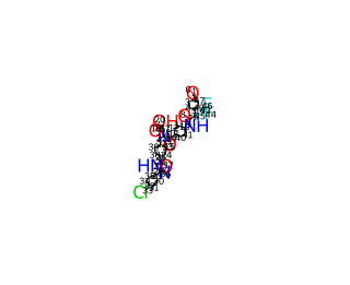 COc1ccc(CC(=O)Nc2ccc(C(=O)N(CC(=O)O)Cc3ccc(C4NC(c5ccc(Cl)cc5)=NO4)cc3)cc2)c(C(F)(F)F)c1